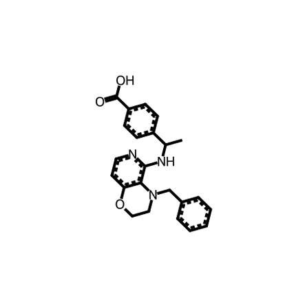 CC(Nc1nccc2c1N(Cc1ccccc1)CCO2)c1ccc(C(=O)O)cc1